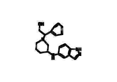 OCC(c1ccccc1)N1CCCC(Nc2ccc3[nH]ncc3c2)C1